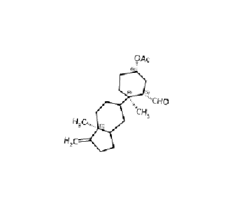 C=C1CCC2CC([C@@]3(C)CC[C@H](OC(C)=O)C[C@@H]3C=O)CC[C@]12C